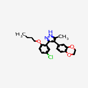 CCCCOc1ccc(Cl)cc1-c1n[nH]c(C)c1-c1ccc2c(c1)OCCO2